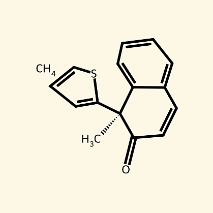 C.C[C@@]1(c2cccs2)C(=O)C=Cc2ccccc21